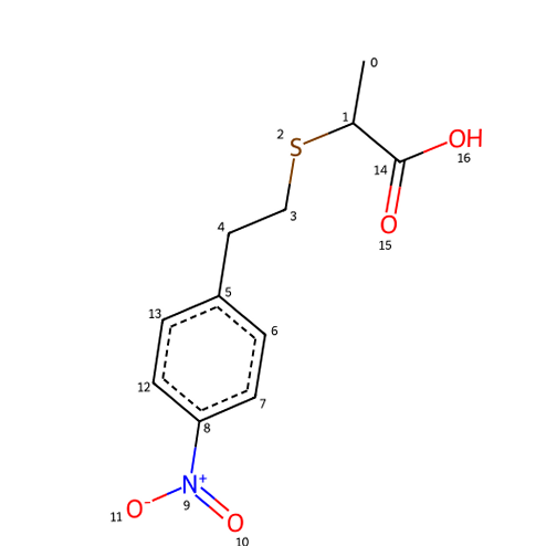 CC(SCCc1ccc([N+](=O)[O-])cc1)C(=O)O